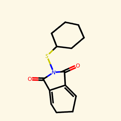 O=C1C2=CCCC=C2C(=O)N1SC1CCCCC1